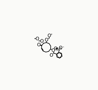 COCOC1CCC(OC(=O)c2ccccc2[N+](=O)[O-])CCC=CC(=O)C1OCOC